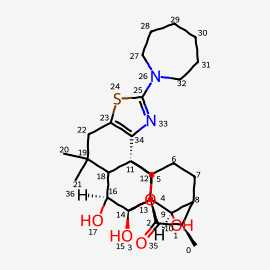 C[C@H]1C(=O)[C@@]23C(CCC1[C@H]2O)[C@@]12CO[C@]3(O)[C@@H](O)C1C(C)(C)Cc1sc(N3CCCCCC3)nc12